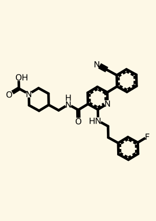 N#Cc1ccccc1-c1ccc(C(=O)NCC2CCN(C(=O)O)CC2)c(NCCc2cccc(F)c2)n1